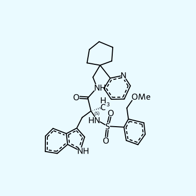 COCc1ccccc1S(=O)(=O)N[C@@](C)(Cc1c[nH]c2ccccc12)C(=O)NCC1(c2ccccn2)CCCCC1